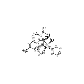 Cc1ccc(N(C(=O)[C@H](F)Cl)[C@](C)(C(=O)NC2CCOCC2)c2cncnc2)c(Cl)c1